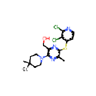 C[CH]C1(C)CCN(c2nc(C)c(Sc3ccnc(Cl)c3Cl)nc2CO)CC1